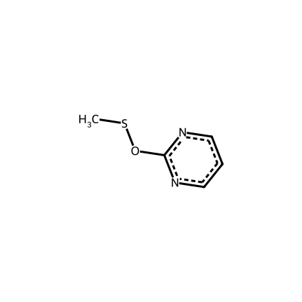 CSOc1ncccn1